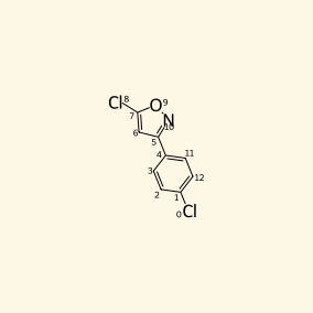 Clc1ccc(-c2cc(Cl)on2)cc1